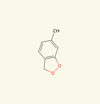 [CH]c1ccc2c(c1)OOC2